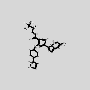 CC(C)(O)[C@H](F)CNC(=O)c1cnc(-c2ccc3cc(C#N)cnn23)cc1NC1CCC(c2ccon2)CC1